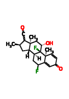 C[C@@H]1C[C@H]2[C@@H]3C[C@H](F)C4=CC(=O)C=C[C@]4(C)[C@@]3(F)[C@@H](O)C[C@]2(C)C1=C=O